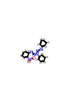 O=[N+]([O-])c1ccccc1N=NN(N=Nc1ccccc1)c1ccccc1